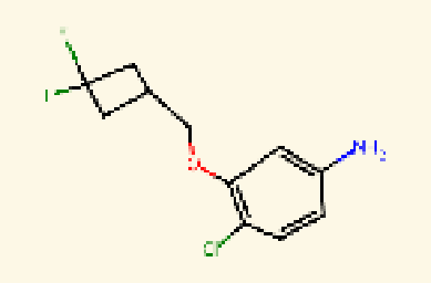 Nc1ccc(Cl)c(OCC2CC(F)(F)C2)c1